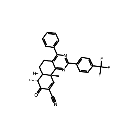 C[C@H]1C(=O)C(C#N)=C[C@@]2(C)c3nc(-c4ccc(C(F)(F)F)cc4)nc(-c4ccccc4)c3CC[C@H]12